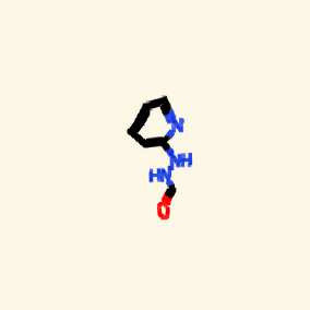 O=CNNc1ccccn1